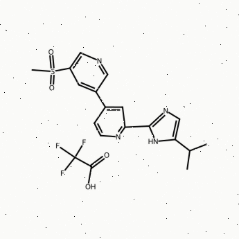 CC(C)c1cnc(-c2cc(-c3cncc(S(C)(=O)=O)c3)ccn2)[nH]1.O=C(O)C(F)(F)F